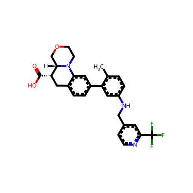 Cc1ccc(NCc2ccnc(C(F)(F)F)c2)cc1-c1ccc2c(c1)N1CCOC[C@H]1[C@@H](C(=O)O)C2